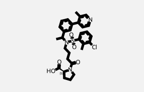 Cc1cnccc1-c1cccc(C(C)N(CCCC(=O)N2CCC[C@H]2C(=O)O)S(=O)(=O)c2cccc(Cl)c2C)c1